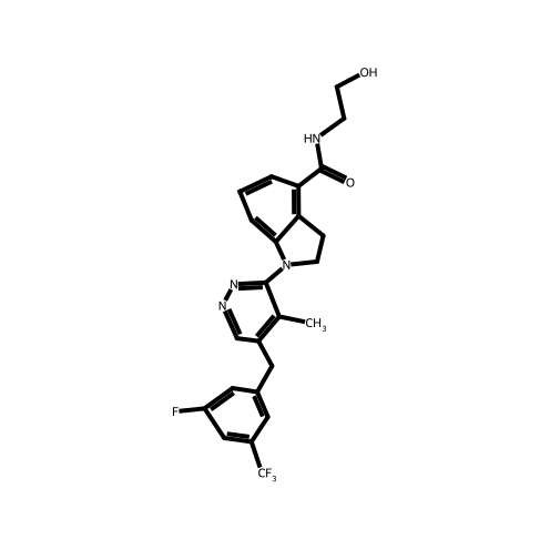 Cc1c(Cc2cc(F)cc(C(F)(F)F)c2)cnnc1N1CCc2c(C(=O)NCCO)cccc21